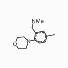 CNCc1cc(C)ccc1N1CCOCC1